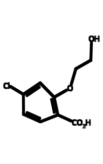 O=C(O)c1ccc(Cl)cc1OCCO